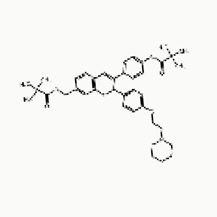 CC(C)(C)C(=O)OCc1ccc2c(c1)OC(c1ccc(OCCN3CCCCC3)cc1)C(c1ccc(OC(=O)C(C)(C)C)cc1)=C2